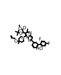 C=CCOC1(C)CCN(c2c([C@H](OC(C)(C)C)C(=O)OC)c(C)nc3cc(-c4cccc(-c5c(O)cc(F)cc5F)c4)nn23)CC1